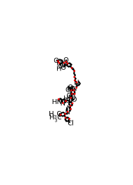 CC1(C)CCC(CN2CCN(c3ccc(C(=O)NS(=O)(=O)c4ccc(NCC5CCCN(CCCCCCC#Cc6ccc7c(c6)C(=O)N(C6CCC(=O)NC6=O)C7=O)C5)c([N+](=O)[O-])c4)c(Oc4cnc5[nH]ccc5c4)c3)CC2)=C(c2ccc(Cl)cc2)C1